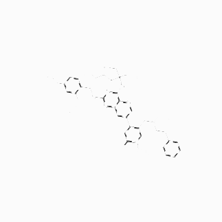 CCCCC(C)(CO)Nc1nc(NCc2ccc(OC)cc2OC)nc2cc(-c3cc(=O)n(C)cc3CN(C)CCc3ccccc3)cnc12